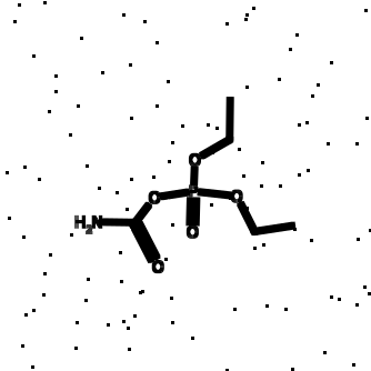 CCOP(=O)(OCC)OC(N)=O